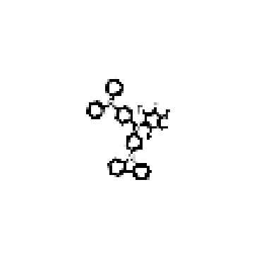 Fc1c(F)c(F)c(N(c2ccc(N(c3ccccc3)c3ccccc3)cc2)c2ccc(-n3c4ccccc4c4ccccc43)cc2)c(F)c1F